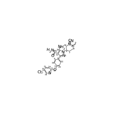 C[C@H]1CCC(n2nc(-c3ccc(Oc4ccc(Cl)cn4)cc3)c(C(N)=O)c2N)CN1C#N